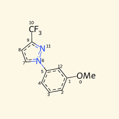 COc1cccc(-n2ccc(C(F)(F)F)n2)c1